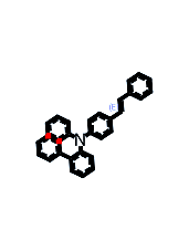 C(=C\c1ccc(N(c2ccccc2)c2ccccc2-c2ccccc2)cc1)/c1ccccc1